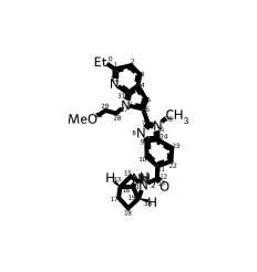 CCc1ccc2cc(-c3nc4cc(C(=O)N5C[C@H]6CC[C@@H]5[C@@H]6N)ccc4n3C)n(CCOC)c2n1